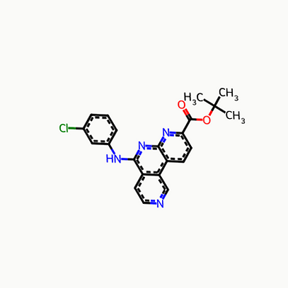 CC(C)(C)OC(=O)c1ccc2c(n1)nc(Nc1cccc(Cl)c1)c1ccncc12